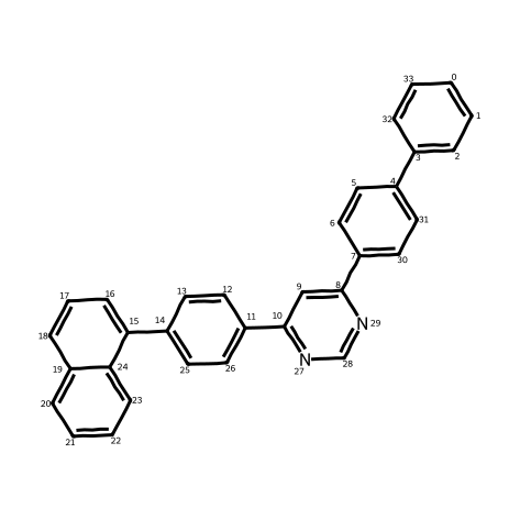 c1ccc(-c2ccc(-c3cc(-c4ccc(-c5cccc6ccccc56)cc4)ncn3)cc2)cc1